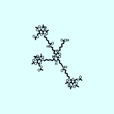 CC(=O)NC1C(OCCCCCC(=O)NCCCCC(NC(=O)CCCCCOC2OC(COC(C)=O)C(OC(C)=O)C(OC(C)=O)C2NC(C)=O)C(=O)NC(CCCCNC(=O)CCCCCOC2OC(COC(C)=O)C(OC(C)=O)C(OC(C)=O)C2NC(C)=O)C(=O)NCCCCCC(=O)O)OC(COC(C)=O)C(OC(C)=O)C1OC(C)=O